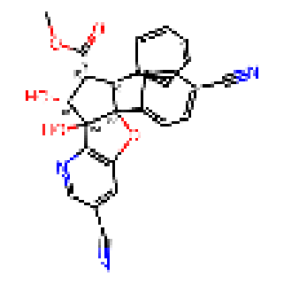 COC(=O)[C@H]1[C@@H](O)[C@@]2(O)c3ncc(C#N)cc3O[C@@]2(c2ccc(C#N)cc2)[C@@H]1c1ccccc1